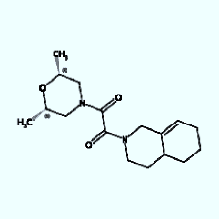 C[C@@H]1CN(C(=O)C(=O)N2CCC3CCCC=C3C2)C[C@H](C)O1